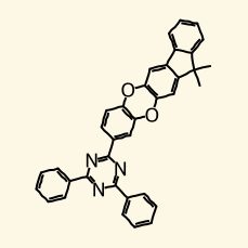 CC1(C)c2ccccc2-c2cc3c(cc21)Oc1cc(-c2nc(-c4ccccc4)nc(-c4ccccc4)n2)ccc1O3